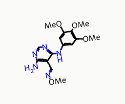 CO/N=C/c1c(N)ncnc1Nc1cc(OC)c(OC)c(OC)c1